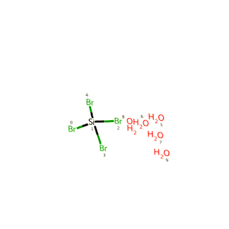 Br[Si](Br)(Br)Br.O.O.O.O.O